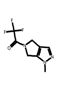 Cn1ncc2c1CN(C(=O)C(F)(F)F)C2